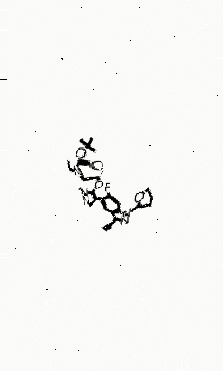 C#Cc1nn(C2CCCCO2)c2cc(F)c(-c3cnn(C)c3O[C@@H](C)CN(CC)C(=O)OC(C)(C)C)cc12